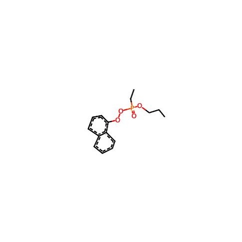 CCCOP(=O)(CC)OOc1cccc2ccccc12